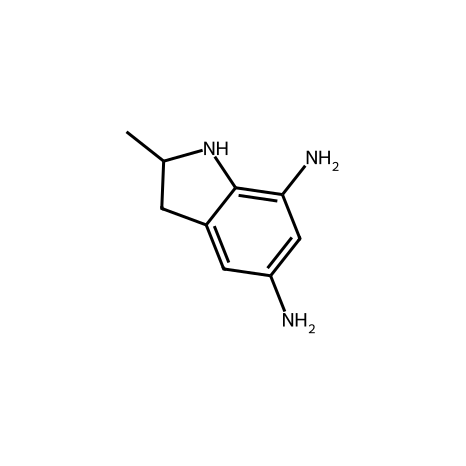 CC1Cc2cc(N)cc(N)c2N1